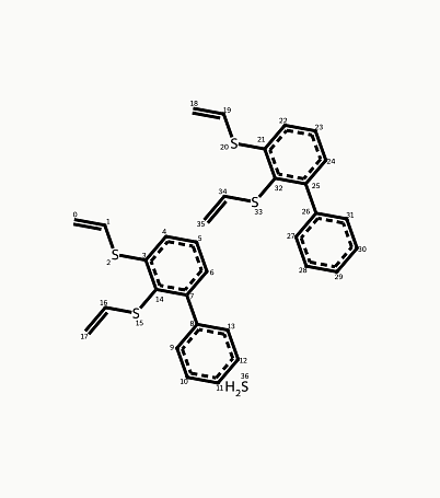 C=CSc1cccc(-c2ccccc2)c1SC=C.C=CSc1cccc(-c2ccccc2)c1SC=C.S